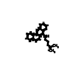 CN(C)CCCNc1c2ccccc2nc2c1ccc1ccccc12